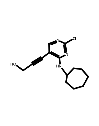 OCC#Cc1cnc(Cl)nc1NC1CCCCCC1